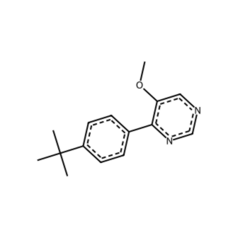 COc1cncnc1-c1ccc(C(C)(C)C)cc1